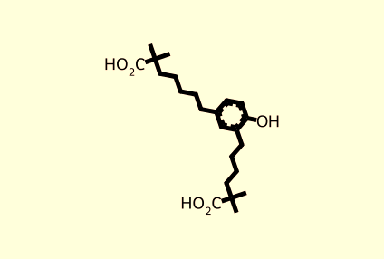 CC(C)(CCCCCc1ccc(O)c(CCCCC(C)(C)C(=O)O)c1)C(=O)O